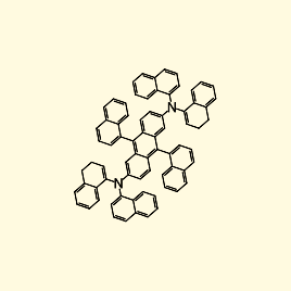 C1=C(N(c2ccc3c(-c4cccc5ccccc45)c4cc(N(C5=CCCc6ccccc65)c5cccc6ccccc56)ccc4c(-c4cccc5ccccc45)c3c2)c2cccc3ccccc23)c2ccccc2CC1